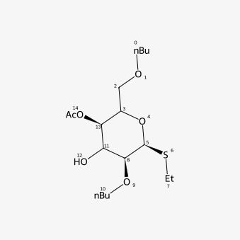 CCCCOCC1O[C@@H](SCC)[C@@H](OCCCC)C(O)[C@H]1OC(C)=O